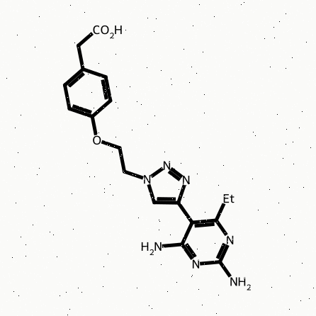 CCc1nc(N)nc(N)c1-c1cn(CCOc2ccc(CC(=O)O)cc2)nn1